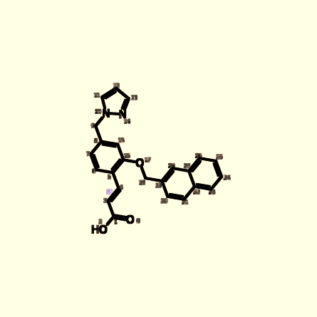 O=C(O)/C=C/c1ccc(Cn2cccn2)cc1OCc1ccc2ccccc2c1